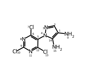 Nc1cnn(-c2c(Cl)nc(Cl)nc2Cl)c1N